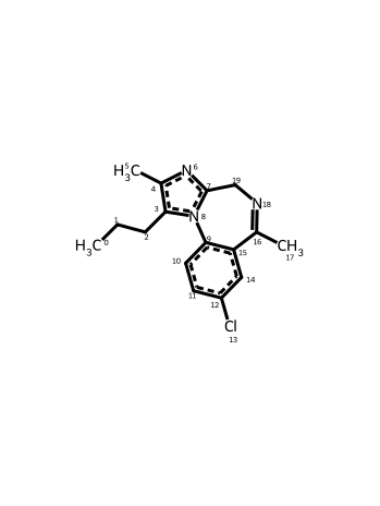 CCCc1c(C)nc2n1-c1ccc(Cl)cc1C(C)=NC2